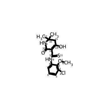 COc1c(Cl)cccc1NC(=S)C1=C(O)CC(C)(C)NC1=O